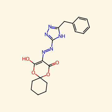 O=C1OC2(CCCCC2)OC(O)=C1N=Nc1nnc(Cc2ccccc2)[nH]1